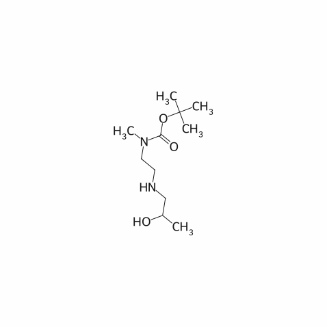 CC(O)CNCCN(C)C(=O)OC(C)(C)C